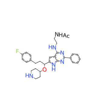 CC(=O)NCCNc1nc(-c2ccccc2)nc2[nH]c(C(CCc3ccc(F)cc3)OC3CCNCC3)cc12